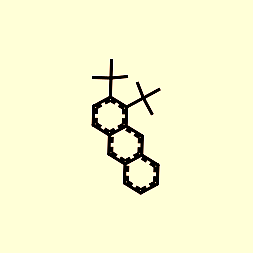 CC(C)(C)c1ccc2cc3ccccc3cc2c1C(C)(C)C